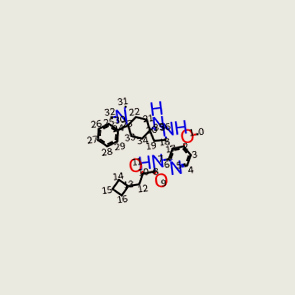 COc1ccnc(NC(=O)C(=O)CC2CCC2)c1[C@@H]1CC2(CCC(c3ccccc3)(N(C)C)CC2)NN1